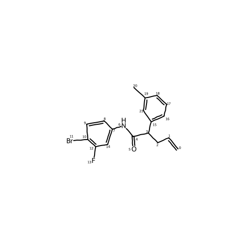 C=CCC(C(=O)Nc1ccc(Br)c(F)c1)c1cccc(C)c1